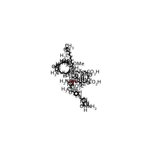 CO[C@@H](/C(C)=C/C=C/C(C)=C/c1coc(C)n1)[C@@H](C)[C@@H]1C[C@H](OC(=O)OCCSSC[C@H](NC(=O)[C@H](CC(=O)O)NC(=O)[C@H](CC(=O)O)NC(=O)[C@H](CCCNC(=N)N)NC(=O)[C@H](CC(=O)O)NC(=O)CC[C@@H](C)NC(=O)c2ccc(NCc3cnc4nc(N)[nH]c(=O)c4n3)cc2)C(=O)O)[C@@]2(C)O[C@@H]2/C=C/[C@@H](C)[C@H]2C[C@H](CC(=O)O2)C[C@@H]2O[C@H]2C(=O)O1